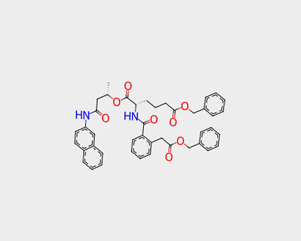 C[C@@H](CC(=O)Nc1ccc2ccccc2c1)OC(=O)[C@H](CCCC(=O)OCc1ccccc1)NC(=O)c1ccccc1CC(=O)OCc1ccccc1